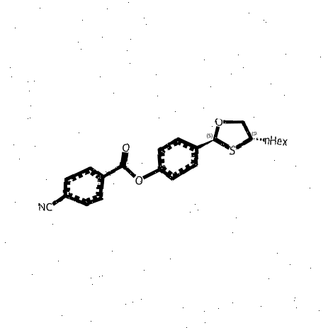 CCCCCC[C@H]1CO[C@H](c2ccc(OC(=O)c3ccc(C#N)cc3)cc2)S1